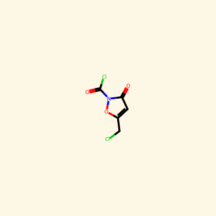 O=C(Cl)n1oc(CCl)cc1=O